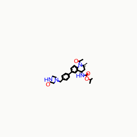 CC(=O)N1c2ccc(-c3ccc(CN4CCNC(=O)C4)cc3)cc2[C@H](NC(=O)OC(C)C)C[C@@H]1C